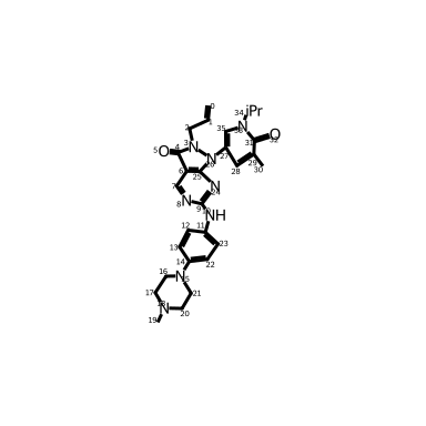 C=CCn1c(=O)c2cnc(Nc3ccc(N4CCN(C)CC4)cc3)nc2n1-c1cc(C)c(=O)n(C(C)C)c1